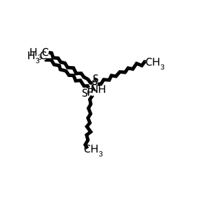 CCCCCCCCCCCCCP(=S)(CCCCCCCCCCCCC)NP(=S)(CCCCCCCCCCCCC)CCCCCCCCCCCCC